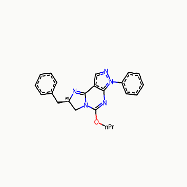 CCCOC1=Nc2c(cnn2-c2ccccc2)C2=N[C@H](Cc3ccccc3)CN12